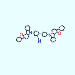 N#Cc1cc(-n2c3ccccc3c3c4oc5ccccc5c4ccc32)ccc1-c1ccc(-n2c3ccccc3c3c4oc5ccccc5c4ccc32)cc1